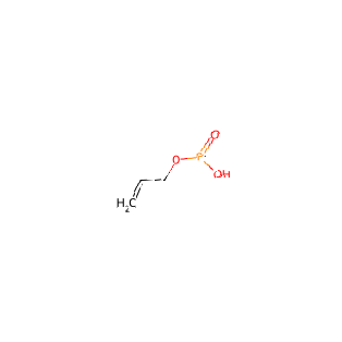 C=CCO[P](=O)O